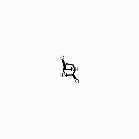 O=C1NC2CCC1NC2=O